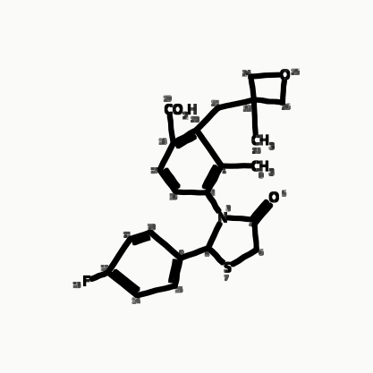 Cc1c(N2C(=O)CSC2c2ccc(F)cc2)ccc(C(=O)O)c1CC1(C)COC1